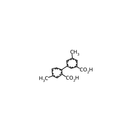 Cc1cc(C(=O)O)cc(-c2ccc(C)cc2C(=O)O)c1